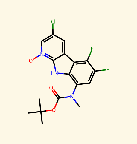 CN(C(=O)OC(C)(C)C)c1cc(F)c(F)c2c1[nH]c1c2cc(Cl)c[n+]1[O-]